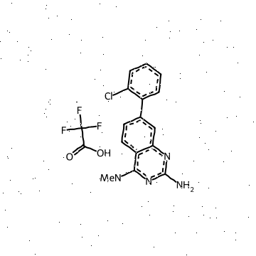 CNc1nc(N)nc2cc(-c3ccccc3Cl)ccc12.O=C(O)C(F)(F)F